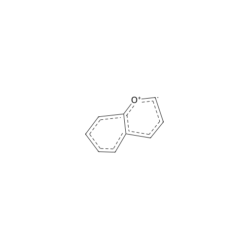 [c]1ccc2ccccc2[o+]1